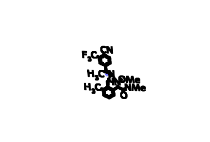 CNC(=O)C(NOC)c1cccc(C)c1CO/N=C(\C)c1ccc(C#N)c(C(F)(F)F)c1